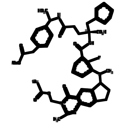 COC(=O)Cc1ccc(C(NC(=O)CC[C@](Cc2ccccc2)(NC(=O)c2cccc(N(C)C3CCc4cc5nc(C)n(COC(=O)C(C)(C)C)c(=O)c5cc43)c2F)C(=O)O)C(=O)O)cc1